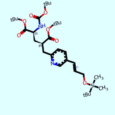 CC(C)(C)OC(=O)N[C@@H](C[C@H](Cc1ccc(/C=C/CO[Si](C)(C)C(C)(C)C)cn1)C(=O)OC(C)(C)C)C(=O)OC(C)(C)C